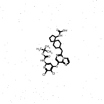 CC(C)(C)OC(=O)Nc1cc(Sc2cnc(CC3CCC4(CCCC4NC(=O)O)CC3)n3ccnc23)c(Cl)c(Cl)n1